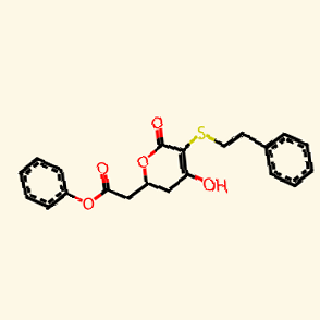 O=C(CC1CC(O)=C(SCCc2ccccc2)C(=O)O1)Oc1ccccc1